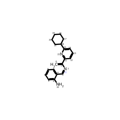 C=C(/N=C\c1ccccc1N)c1cccc(C2CCCCC2)n1